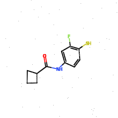 O=C(Nc1ccc(S)c(F)c1)C1CCC1